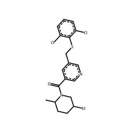 CCC1CCC(C)N(C(=O)c2cncc(CSc3c(Cl)cccc3Cl)c2)C1